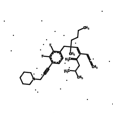 C=C=C/C(=C/C(C)(CCCC)Cc1ccc(C#CCN2CCCCC2)c(F)c1F)C(=C)CC(C)C